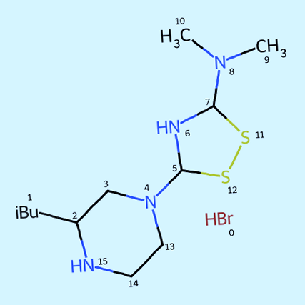 Br.CCC(C)C1CN(C2NC(N(C)C)SS2)CCN1